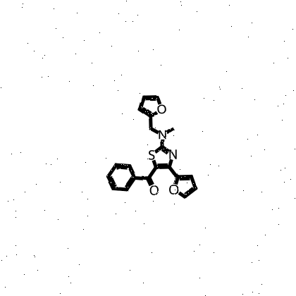 CN(Cc1ccco1)c1nc(-c2ccco2)c(C(=O)c2ccccc2)s1